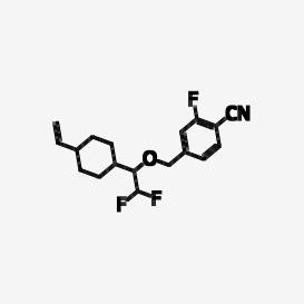 C=CC1CCC(C(OCc2ccc(C#N)c(F)c2)C(F)F)CC1